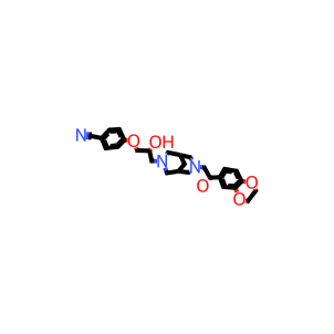 N#Cc1ccc(OCC(O)CN2CC3CC(CN(CC(=O)c4ccc5c(c4)OCCO5)C3)C2)cc1